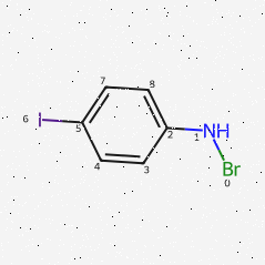 BrNc1ccc(I)cc1